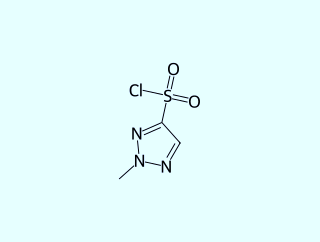 Cn1ncc(S(=O)(=O)Cl)n1